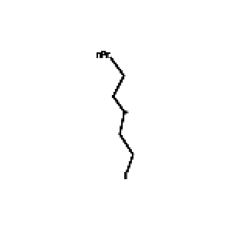 CCCCC[CH]CCI